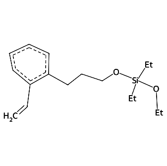 C=Cc1ccccc1CCCO[Si](CC)(CC)OCC